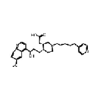 COc1ccc2nccc([C@H](O)CC[C@@H]3CCN(CCCCCc4ccncc4)C[C@@H]3CC(=O)O)c2c1